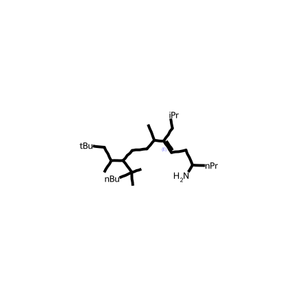 CCCCC(C)(C)C(CCC(C)/C(=C/CC(N)CCC)CC(C)C)C(C)CC(C)(C)C